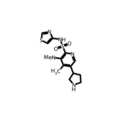 CNc1c(S(=O)(=O)Nc2cscn2)ncc(C2CCNC2)c1C